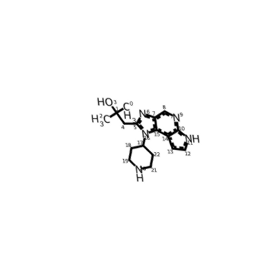 CC(C)(O)Cc1nc2cnc3[nH]ccc3c2n1C1CCNCC1